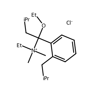 CCOC(CC(C)C)(c1ccccc1CC(C)C)[N+](C)(C)CC.[Cl-]